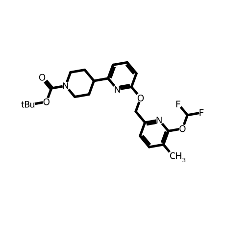 Cc1ccc(COc2cccc(C3CCN(C(=O)OC(C)(C)C)CC3)n2)nc1OC(F)F